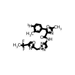 [3H]c1ccc(-c2oc(C)nc2C(=O)Nc2cnn(Cc3nc(C(C)(F)F)co3)n2)cc1C